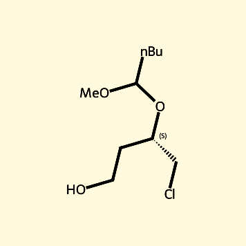 CCCCC(OC)O[C@H](CCl)CCO